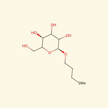 CSCCCO[C@H]1OC(CO)[C@@H](O)C(O)C1O